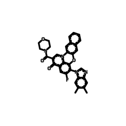 Cc1cc2ncn(-c3c(F)cc4c(=O)c(C(=O)N5CCOCC5)cn5c4c3Oc3cc4ccccc4cc3-5)c2cc1C